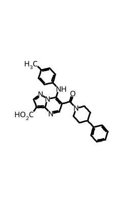 Cc1ccc(Nc2c(C(=O)N3CCC(c4ccccc4)CC3)cnc3c(C(=O)O)cnn23)cc1